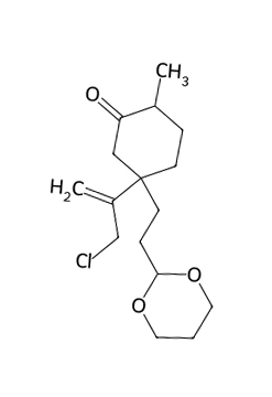 C=C(CCl)C1(CCC2OCCCO2)CCC(C)C(=O)C1